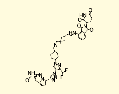 NC(=O)c1cnn2c(-c3cn(-c4cn(C5CCC(CN6CC7(CC(CCNc8cccc9c8C(=O)N(C8CCC(=O)NC8=O)C9=O)C7)C6)CC5)nc4C(F)F)nn3)ccc2c1